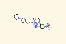 CCc1c(C(=O)NCCc2ccc(N3CCCCC3)cc2)[nH]c2ccc([N+](=O)[O-])cc12